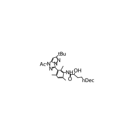 CCCCCCCCCCCCC(O)C(=O)Nc1c(C)cc(C)c(-c2nn(C(C)=O)c3cc(C(C)(C)C)nn23)c1C